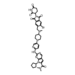 CN(C)C(=O)c1cc2cnc(Nc3ccc(N4CCC(N(C)Cc5cc6c(cc5Br)C(=O)N(C5CCC(=O)NC5=O)C6=O)CC4)cn3)nc2n1C1CCCC1